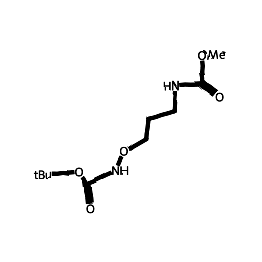 COC(=O)NCCCONC(=O)OC(C)(C)C